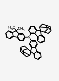 CC1(C)c2ccccc2-c2ccc(N(c3ccc4c(c3)C3(c5ccccc5-4)C4CC5CC(C4)CC3C5)c3cccc4c3-c3ccccc3C43C4CC5CC(C4)CC3C5)cc21